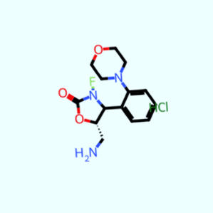 Cl.NC[C@@H]1OC(=O)N(F)C1c1ccccc1N1CCOCC1